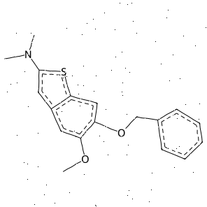 COc1cc2cc(N(C)C)sc2cc1OCc1ccccc1